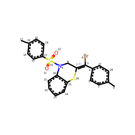 Cc1ccc(/C(Br)=C2/CN(S(=O)(=O)c3ccc(C)cc3)c3ccccc3S2)cc1